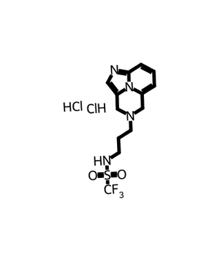 Cl.Cl.O=S(=O)(NCCCN1Cc2cccc3ncc(n23)C1)C(F)(F)F